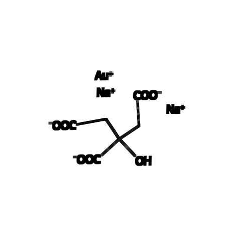 O=C([O-])CC(O)(CC(=O)[O-])C(=O)[O-].[Au+].[Na+].[Na+]